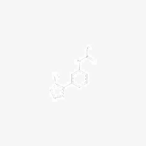 CC(C)C(=O)Nc1cccc(-c2nncn2C)c1